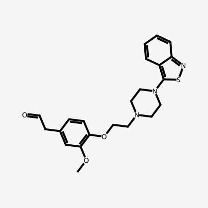 COc1cc(CC=O)ccc1OCCN1CCN(c2snc3ccccc23)CC1